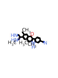 CCc1cc2c(cc1/C(C=N)=C/NC)C(C)(C)c1[nH]c3cc(C#N)ccc3c1C2=O